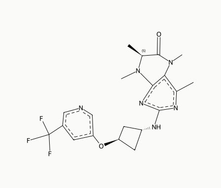 Cc1nc(N[C@H]2C[C@H](Oc3cncc(C(F)(F)F)c3)C2)nc2c1N(C)C(=O)[C@H](C)N2C